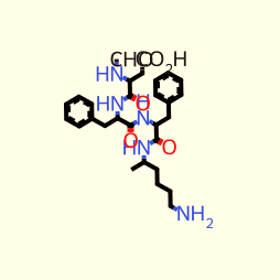 CC(CCCCN)NC(=O)C(Cc1ccccc1)NC(=O)C(Cc1ccccc1)NC(=O)C(CC(=O)O)NC=O